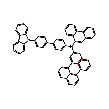 c1ccc(-c2cccc3cccc(-c4cccc(N(c5ccc(-c6ccc(-n7c8ccccc8c8ccccc87)cc6)cc5)c5cc6ccccc6c6ccccc56)c4)c23)cc1